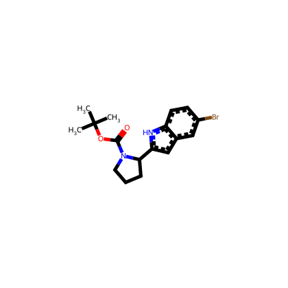 CC(C)(C)OC(=O)N1CCCC1c1cc2cc(Br)ccc2[nH]1